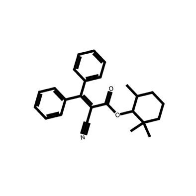 CC1CCCC(C)(C)C1OC(=O)C(C#N)=C(c1ccccc1)c1ccccc1